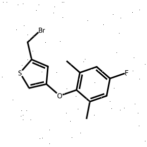 Cc1cc(F)cc(C)c1Oc1csc(CBr)c1